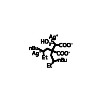 CCCCC(CC)CC(CC(CC)CCCC)(C(=O)[O-])C(C(=O)[O-])S(=O)(=O)O.[Ag+].[Ag+]